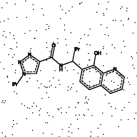 CC(C)C(NC(=O)c1cn(C(C)C)nn1)c1ccc2cccnc2c1O